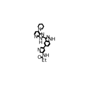 CCC(=O)Nc1cncc(-c2ccc3[nH]nc(-c4nc5c(N6CCCCC6)ccnc5[nH]4)c3c2)c1